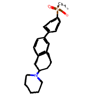 CS(=O)(=O)c1ccc(-c2ccc3c(c2)CCC(N2CCCCC2)C3)cc1